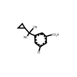 N#CC(C#N)(c1cc(Cl)cc(C(=O)O)c1)C1CC1